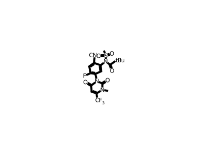 Cn1c(C(F)(F)F)cc(=O)n(-c2cc(N(C(=O)C(C)(C)C)S(C)(=O)=O)c(C#N)cc2F)c1=O